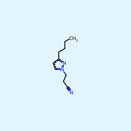 CCCCc1ccn(CCC#N)n1